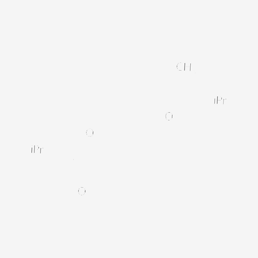 CC(C)C(=O)OCCOC(C)C(C)C